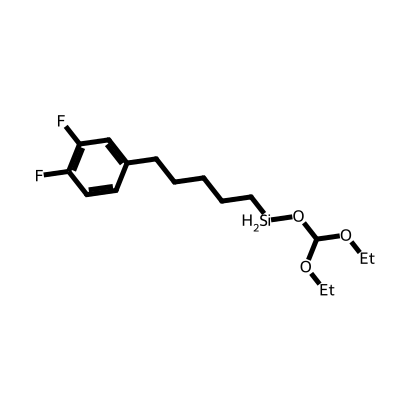 CCOC(OCC)O[SiH2]CCCCCc1ccc(F)c(F)c1